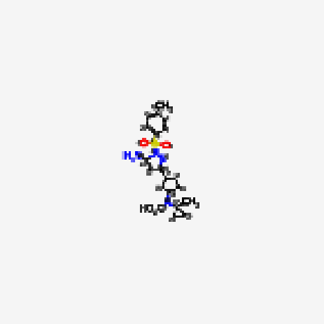 Cc1ccc(S(=O)(=O)n2nc([C@H]3CC[C@@H](N(C(=O)O)C4(C)CC4)C3)cc2N)cc1